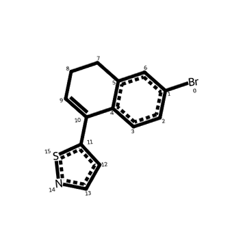 Brc1ccc2c(c1)CCC=C2c1ccns1